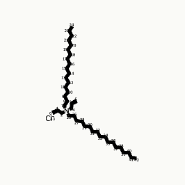 C=CC[N+](CC=C)(CCCCCCCCCCCCCCCCCC)CCCCCCCCCCCCCCCCCC.[Cl-]